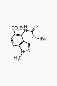 CCOC(=O)c1cnc2c(cnn2C)c1NC(=O)OC(C)(C)C